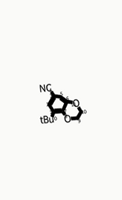 CC(C)(C)c1cc(C#N)cc2c1OCCO2